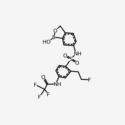 O=C(Nc1ccc(S(=O)(=O)Nc2ccc3c(c2)B(O)OC3)c(CCF)c1)C(F)(F)F